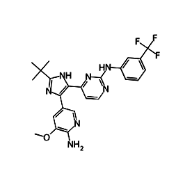 COc1cc(-c2nc(C(C)(C)C)[nH]c2-c2ccnc(Nc3cccc(C(F)(F)F)c3)n2)cnc1N